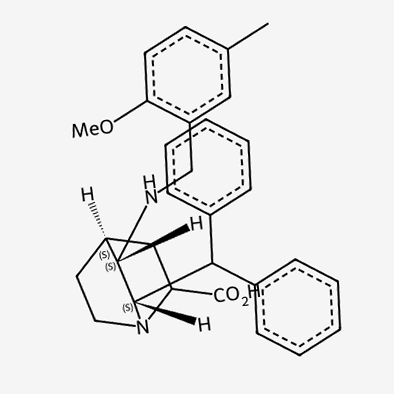 COc1ccc(C)cc1CN[C@H]1[C@H]2CCN(C(C(=O)O)C2)[C@H]1C(c1ccccc1)c1ccccc1